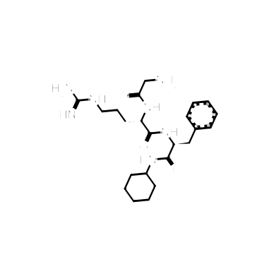 C[C@H](N)C(=O)N[C@@H](CCCNC(=N)N)C(=O)N[C@@H](Cc1ccccc1)C(=O)NC1CCCCC1